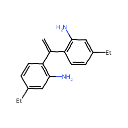 C=C(c1ccc(CC)cc1N)c1ccc(CC)cc1N